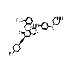 CCC1CCC(C#Cc2cc3cnc(Nc4ccc(N(C)C5CCNCC5)cc4)nc3n(Cc3ccccc3C(F)(F)F)c2=O)CC1